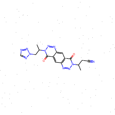 CC(CC#N)n1nnc2cc3c(=O)n(C(C)Cn4ncnn4)nnc3cc2c1=O